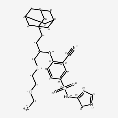 CCOCCOCC(CCC12CC3CC(CC(C3)C1)C2)Oc1ccc(S(=O)(=O)Nc2ncns2)cc1C#N